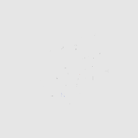 CC(C)(C)[Si](OCC12CCCN1C/C(=C\F)C2)(c1ccccc1)c1ccccc1